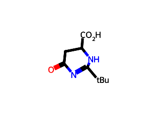 CC(C)(C)C1=NC(=O)CC(C(=O)O)N1